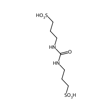 O=C(NCCCS(=O)(=O)O)NCCCS(=O)(=O)O